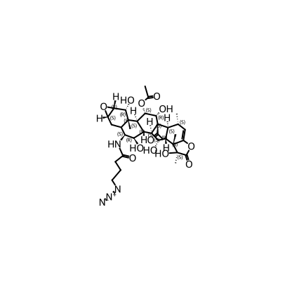 CC(=O)O[C@H]1[C@H]2[C@@H]([C@@H](O)[C@@H](NC(=O)CCCN=[N+]=[N-])C3C[C@@H]4O[C@@H]4[C@H](O)[C@@]32C)[C@@H]2[C@@H](O)[C@@H]3[C@H]([C@H](C)C=C4OC(=O)[C@@](C)(O)[C@@]43C)[C@@]2(C(C)=O)[C@H]1O